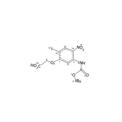 CC(C)(C)OC(=O)Nc1cc(OCC(=O)O)c(I)cc1[N+](=O)[O-]